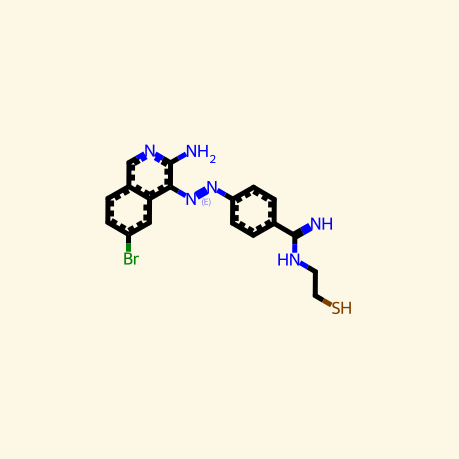 N=C(NCCS)c1ccc(/N=N/c2c(N)ncc3ccc(Br)cc23)cc1